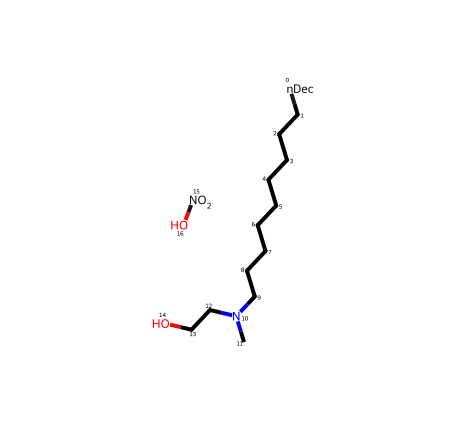 CCCCCCCCCCCCCCCCCCCN(C)CCO.O=[N+]([O-])O